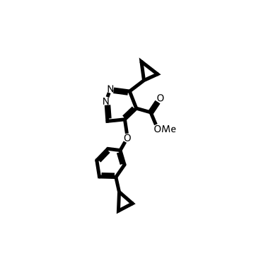 COC(=O)c1c(Oc2cccc(C3CC3)c2)cnnc1C1CC1